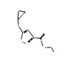 CCOC(=O)c1cc(CC2CC2)[nH]n1